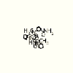 Cc1ccccc1S(=O)(=O)NC(=O)NC(Cc1ccccc1)C(=O)N(C)c1cccc(C(N)=O)c1